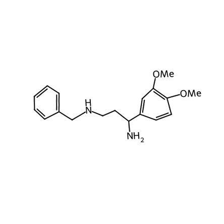 COc1ccc(C(N)CCNCc2ccccc2)cc1OC